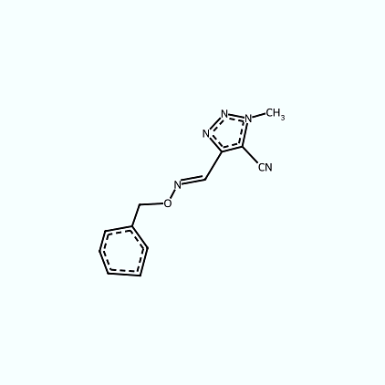 Cn1nnc(C=NOCc2ccccc2)c1C#N